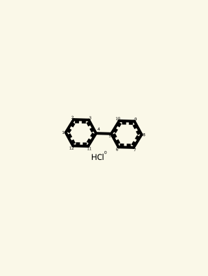 Cl.[c]1ccc(-c2ccccc2)cc1